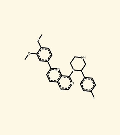 COc1ccc(-c2ccc3ncnc(N4CCNCC4c4ccc(F)cc4)c3n2)cc1OC